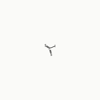 S=P(=S)I